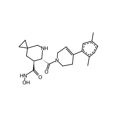 Cc1ccc(C)c(C2=CCN(C(=O)[C@H]3NCC4(CC4)C[C@@H]3C(=O)NO)CC2)c1